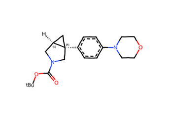 CC(C)(C)OC(=O)N1C[C@H]2C[C@@]2(c2ccc(N3CCOCC3)cc2)C1